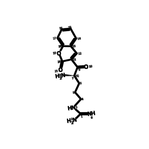 N=C(N)NCCC[C@H](N)C(=O)c1cc2ccccc2oc1=O